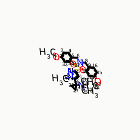 COc1ccc(CN(Cc2ccc(OC)cc2)S(=O)(=O)c2cc(C3(N(C)C)CC3)n(C)n2)cc1